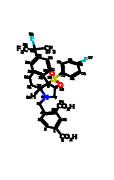 O=C(O)c1ccc(CN2CC[C@@]3(S(=O)(=O)c4ccc(F)cc4)c4ccc(C(F)(C(F)(F)F)C(F)(F)F)cc4CC[C@@H]23)c(C(=O)O)c1